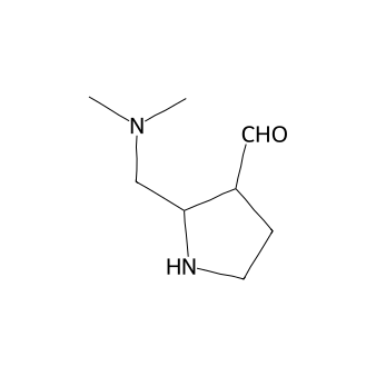 CN(C)CC1NCCC1C=O